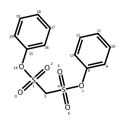 O=S(=O)(CS(=O)(=O)Oc1ccccc1)Oc1ccccc1